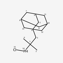 CC(C)(CC12CC3CC(CC(C3)C1)C2)PCl